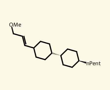 CCCCC[C@H]1CC[C@H](C2CCC(/C=C/COC)CC2)CC1